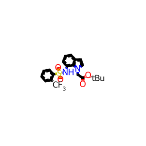 CC(C)(C)OC(=O)Cn1ccc2cccc(NS(=O)(=O)c3ccccc3C(F)(F)F)c21